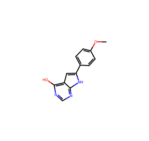 COc1ccc(-c2cc3c(O)ncnc3[nH]2)cc1